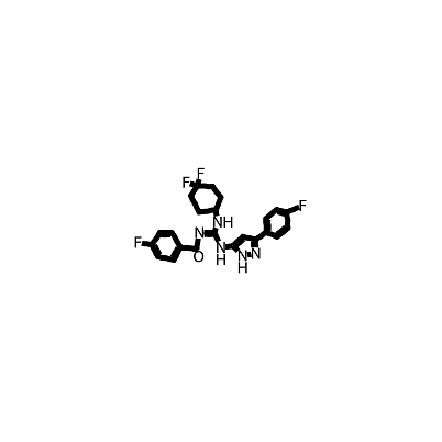 O=C(/N=C(\Nc1cc(-c2ccc(F)cc2)n[nH]1)NC1CCC(F)(F)CC1)c1ccc(F)cc1